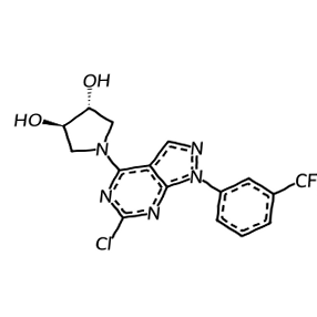 O[C@@H]1CN(c2nc(Cl)nc3c2cnn3-c2cccc(C(F)(F)F)c2)C[C@H]1O